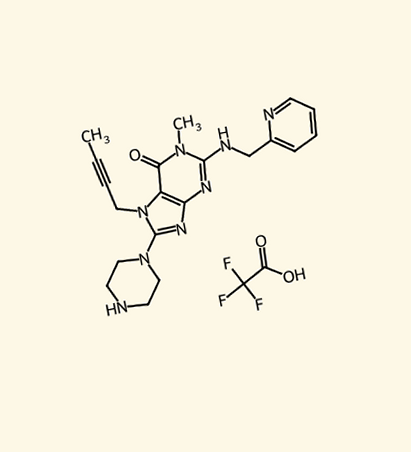 CC#CCn1c(N2CCNCC2)nc2nc(NCc3ccccn3)n(C)c(=O)c21.O=C(O)C(F)(F)F